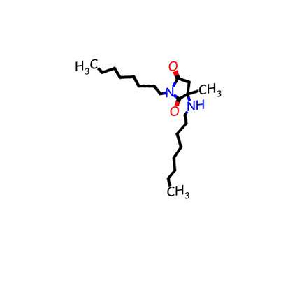 CCCCCCCCNC1(C)CC(=O)N(CCCCCCCC)C1=O